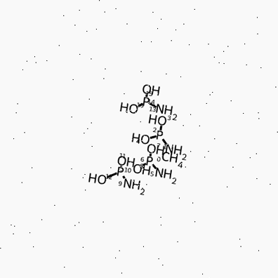 C.NP(O)O.NP(O)O.NP(O)O.NP(O)O